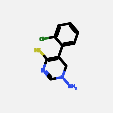 NN1C=NC(S)=C(c2ccccc2Cl)C1